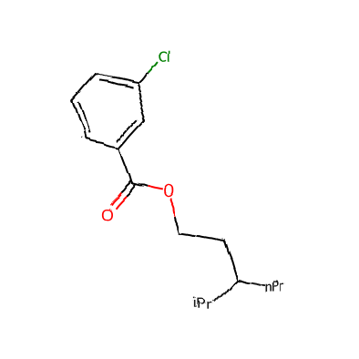 CCCC(CCOC(=O)c1[c]ccc(Cl)c1)C(C)C